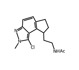 CC(=O)NCCC1CCc2ccc3nn(C)c(Cl)c3c21